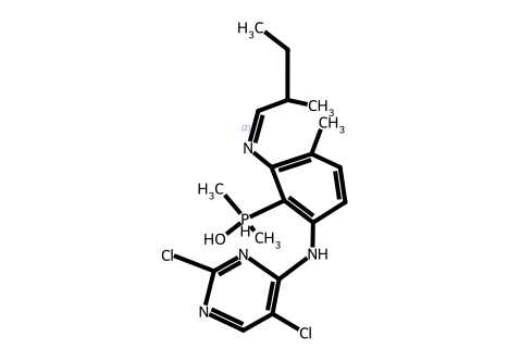 CCC(C)/C=N\c1c(C)ccc(Nc2nc(Cl)ncc2Cl)c1[PH](C)(C)O